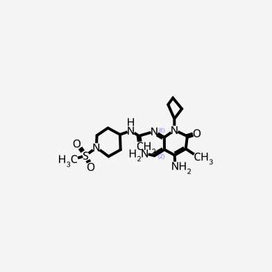 C=C(/N=C1\C(=C/N)C(N)=C(C)C(=O)N1C1CCC1)NC1CCN(S(C)(=O)=O)CC1